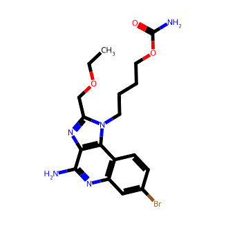 CCOCc1nc2c(N)nc3cc(Br)ccc3c2n1CCCCOC(N)=O